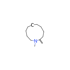 C=C1CCCCCCCCCN1C